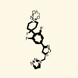 CN=S1(=O)CCC(F)(c2c(F)cc(C3=NO[C@@H](Cn4ccnn4)C3)cc2F)CC1